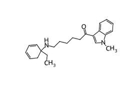 CCC1(NCCCCCC(=O)c2cn(C)c3ccccc23)C=CC=CC1